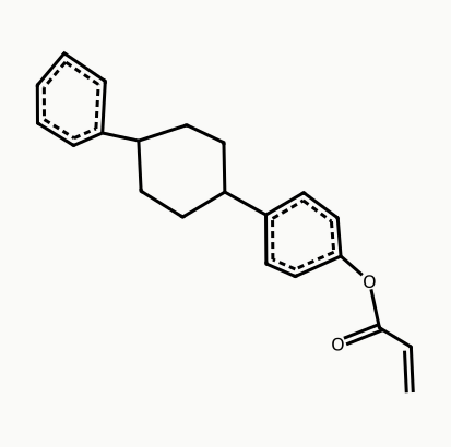 C=CC(=O)Oc1ccc(C2CCC(c3ccccc3)CC2)cc1